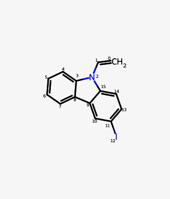 C=Cn1c2ccccc2c2cc(I)ccc21